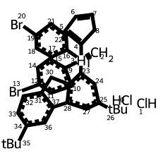 Cl.Cl.[CH2]=[Hf]([C]1=CC=CC1)([c]1ccc(Br)cc1)([c]1ccc(Br)cc1)[c]1cc(C(C)(C)C)cc2c1Cc1ccc(C(C)(C)C)cc1-2